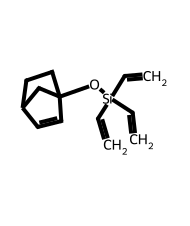 C=C[Si](C=C)(C=C)OC12C=CC(CC1)C2